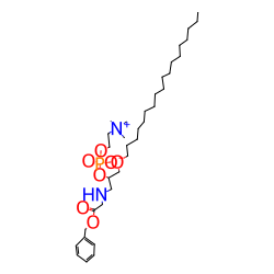 CCCCCCCCCCCCCCCCCCOCC(CNCC(=O)OCc1ccccc1)OP(=O)([O-])OCC[N+](C)(C)C